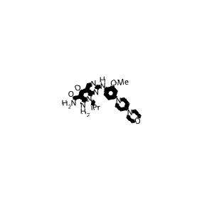 COc1cc(N2CCC(N3CCOCC3)CC2)ccc1Nc1ncc2c(=O)c(C(N)=O)c(N)n(CC(C)C)c2n1